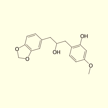 COc1ccc(CC(O)Cc2ccc3c(c2)OCO3)c(O)c1